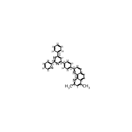 Cc1cc(C)c2ccc3ccc(-c4ccc(-c5cc(-c6ccccc6)nc(-c6ccccn6)n5)cc4)nc3c2n1